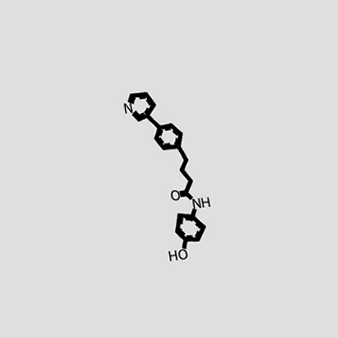 O=C(CCCc1ccc(-c2cccnc2)cc1)Nc1ccc(O)cc1